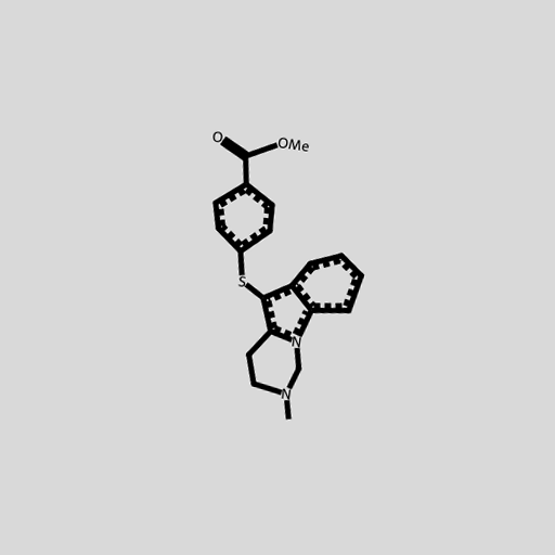 COC(=O)c1ccc(Sc2c3n(c4ccccc24)CN(C)CC3)cc1